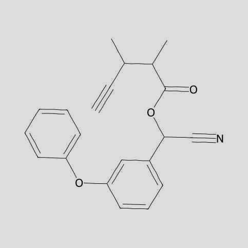 C#CC(C)C(C)C(=O)OC(C#N)c1cccc(Oc2ccccc2)c1